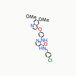 COc1cc2nccc(Oc3ccc(Nc4ncccc4C(=O)NCc4ccc(Cl)cc4)cc3)c2cc1OC